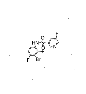 O=S(=O)(Nc1ccc(F)c(Br)c1F)c1cncc(F)c1